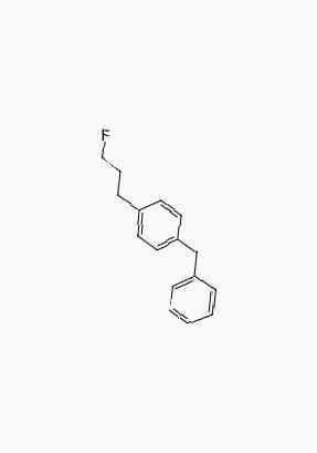 FCCCc1ccc(Cc2ccccc2)cc1